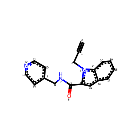 C#CCn1c(C(=O)NCc2ccncc2)cc2ccccc21